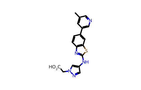 Cc1cncc(-c2ccc3nc(Nc4cnn(CC(=O)O)c4)sc3c2)c1